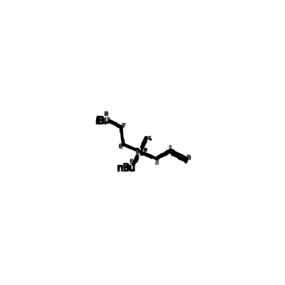 C=CC[N+](C)(CCCC)CCC(C)CC